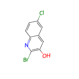 Oc1cc2cc(Cl)ccc2nc1Br